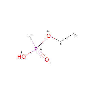 [CH2]P(=O)(O)OCC